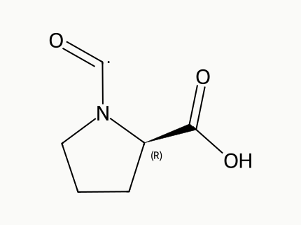 O=[C]N1CCC[C@@H]1C(=O)O